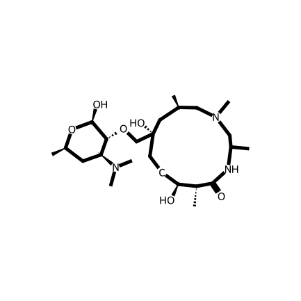 CC1CN(C)C[C@H](C)C[C@](O)(CO[C@H]2[C@H](O)O[C@H](C)C[C@@H]2N(C)C)CC[C@H](O)[C@@H](C)C(=O)N1